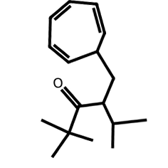 CC(C)C(CC1C=CC=CC=C1)C(=O)C(C)(C)C